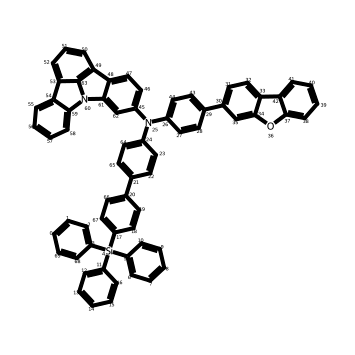 c1ccc([Si](c2ccccc2)(c2ccccc2)c2ccc(-c3ccc(N(c4ccc(-c5ccc6c(c5)oc5ccccc56)cc4)c4ccc5c6cccc7c8ccccc8n(c5c4)c76)cc3)cc2)cc1